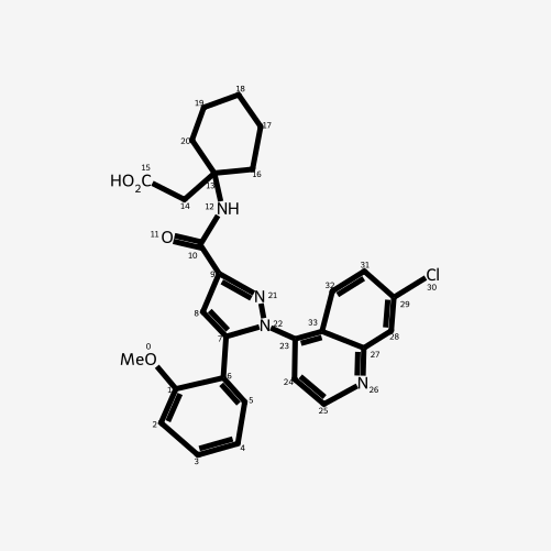 COc1ccccc1-c1cc(C(=O)NC2(CC(=O)O)CCCCC2)nn1-c1ccnc2cc(Cl)ccc12